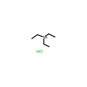 C[CH2][Sn]([CH2]C)[CH2]C.Cl